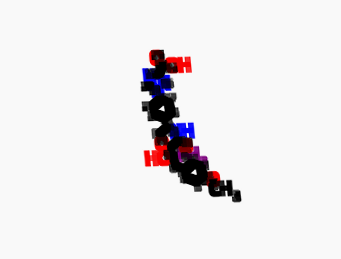 COc1ccc(CC(O)([PH2]=O)[C@@H]2CN[C@H](c3ccc(-n4cnc(C(=O)O)n4)cc3)CO2)cc1